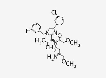 COCC(=O)N(CC[C@H](N)COC)[C@@H](c1nc(-c2cccc(Cl)c2)cn1Cc1cccc(F)c1)C(C)C